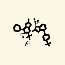 COc1c(C(C)(C)C)cc2c(c1-c1ccccc1)C=C(C)[CH]2[Hf+2]([CH]1C(C)=Cc2c(-c3ccc(C(C)(C)C)cc3)cccc21)=[Si](C)C.[Cl-].[Cl-]